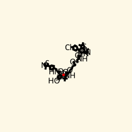 Cc1ncsc1-c1ccc(CNC(=O)[C@@H]2C[C@@H](O)CN2C(=O)C(NC(=O)COCCC[S+]([O-])CCNC(=O)C[C@@H]2N=C(c3ccc(Cl)cc3)c3c(sc(C)c3C)-n3c(C)nnc32)C(C)(C)C)cc1